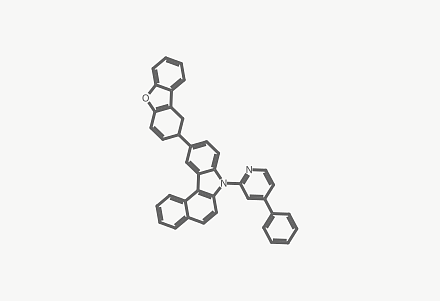 C1=CC(c2ccc3c(c2)c2c4ccccc4ccc2n3-c2cc(-c3ccccc3)ccn2)Cc2c1oc1ccccc21